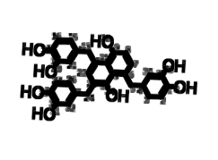 OC1=CCC(Cc2ccc(O)c3c(Cc4ccc(O)c(O)c4)cc(Cc4ccc(O)c(O)c4)c(O)c23)C=C1O